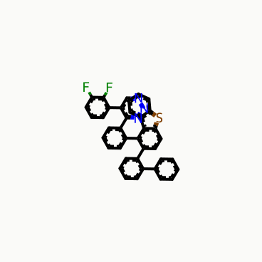 Fc1cccc(-c2cnnnc2-c2ccccc2-c2c(-c3ccccc3-c3ccccc3)ccc3sc4ccccc4c23)c1F